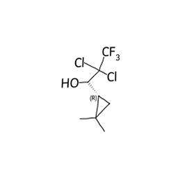 CC1(C)C[C@H]1C(O)C(Cl)(Cl)C(F)(F)F